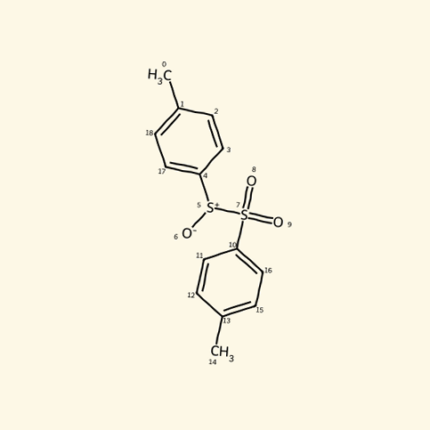 Cc1ccc([S+]([O-])S(=O)(=O)c2ccc(C)cc2)cc1